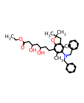 CCOC(=O)CC(O)CC(O)CCc1c(C)c(N(Cc2ccccc2)Cc2ccccc2)c(C)c2c1OC(C)(C)C2